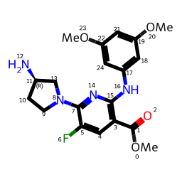 COC(=O)c1cc(F)c(N2CC[C@@H](N)C2)nc1Nc1cc(OC)cc(OC)c1